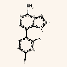 Cc1nc(F)ccc1-c1cnc(N)n2cnnc12